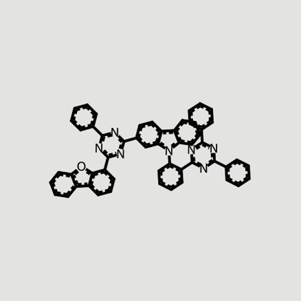 c1ccc(-c2nc(-c3ccccc3)nc(-c3ccccc3-n3c4ccccc4c4ccc(-c5nc(-c6ccccc6)nc(-c6cccc7c6oc6ccccc67)n5)cc43)n2)cc1